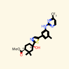 COC(=O)[C@H]1CC[C@](O)(c2ncc(-c3cc(C)cc(Nc4nccc(C(F)(F)F)n4)c3)s2)CC1(C)C